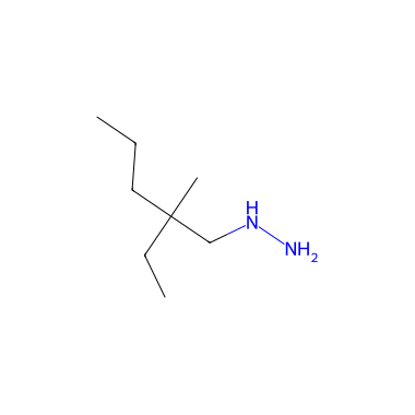 CCCC(C)(CC)CNN